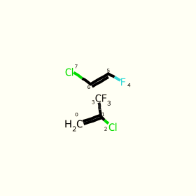 C=C(Cl)C(F)(F)F.FC=CCl